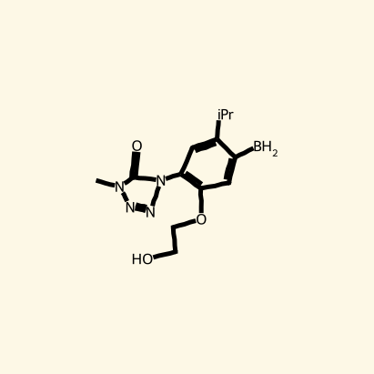 Bc1cc(OCCO)c(-n2nnn(C)c2=O)cc1C(C)C